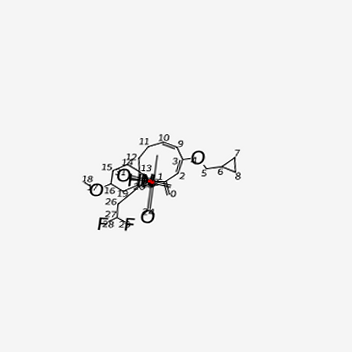 C=C1/C=C(OCC2CC2)\C=C/CCC2(CCC(OC)CC2)C12NC(=O)N(CC(F)F)C2=O